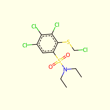 CCN(CC)S(=O)(=O)c1cc(Cl)c(Cl)c(Cl)c1SCCl